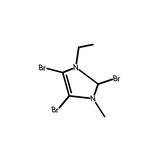 CCN1C(Br)=C(Br)N(C)C1Br